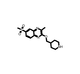 Cc1nc2cc(S(C)(=O)=O)ccc2nc1OCC1CCNCC1